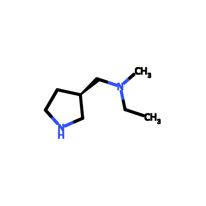 CCN(C)C[C@@H]1CCNC1